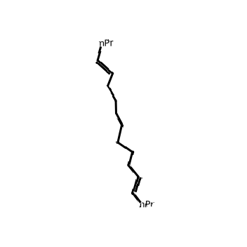 [CH2]CCC=CCCCCCCCC=CCCC